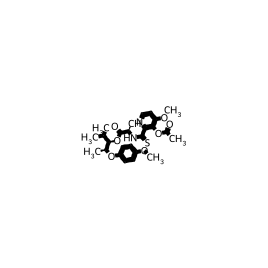 COc1ccc(O[C@@H](C)[C@H](OC(=O)[C@H](C)NC(=S)c2nccc(OC)c2OC(C)=O)C(C)C)cc1